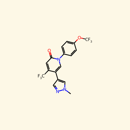 Cn1cc(-c2cn(-c3ccc(OC(F)(F)F)cc3)c(=O)cc2C(F)(F)F)cn1